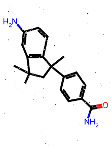 CC1(C)CC(C)(c2ccc(C(N)=O)cc2)c2ccc(N)cc21